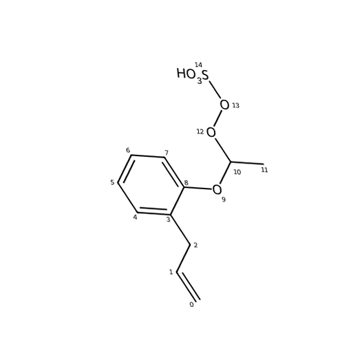 C=CCc1ccccc1OC(C)OOS(=O)(=O)O